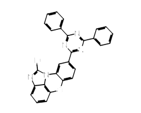 CCc1nc2cccc3c2n1-c1cc(-c2nc(-c4ccccc4)nc(-c4ccccc4)n2)ccc1O3